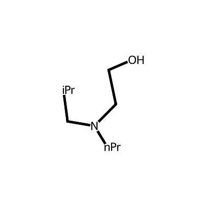 CCCN(CCO)CC(C)C